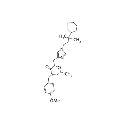 COc1ccc(CN2CC(C)OC(Cc3cn(CCC(C)(C)C4CCCCC4)cn3)C2=O)cc1